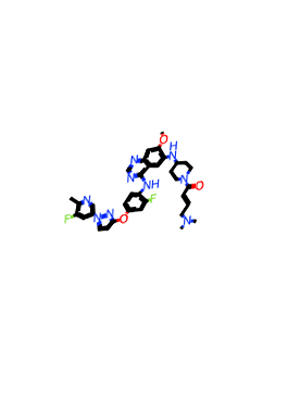 COc1cc2ncnc(Nc3ccc(Oc4ccn(-c5cnc(C)c(F)c5)n4)cc3F)c2cc1NC1CCN(C(=O)/C=C/CN(C)C)CC1